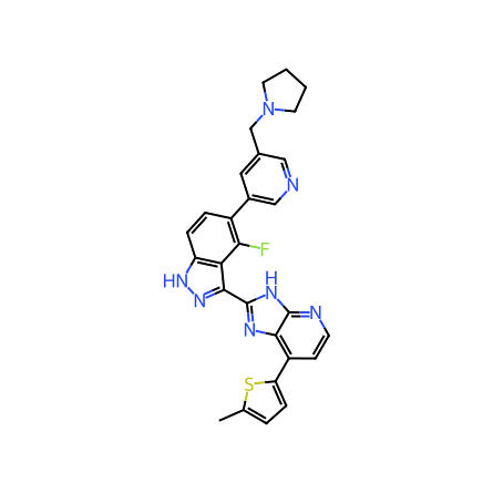 Cc1ccc(-c2ccnc3[nH]c(-c4n[nH]c5ccc(-c6cncc(CN7CCCC7)c6)c(F)c45)nc23)s1